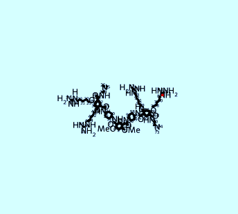 COc1cc(OC)c(C(=O)N[C@H]2CC[C@H](NC(=O)c3cc(C(=O)NCCN(C)C)c(OCCCCCNC(=N)N)cc3OCCCCCNC(=N)N)CC2)cc1C(=O)N[C@H]1CC[C@@H](NC(=O)c2cc(C(=O)NCCN(C)C)c(OCCCCCNC(=N)N)cc2OCCCCCNC(=N)N)CC1